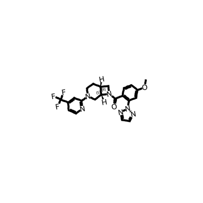 COc1ccc(C(=O)N2C[C@H]3CCN(c4cc(C(F)(F)F)ccn4)C[C@H]32)c(-n2nccn2)c1